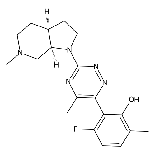 Cc1ccc(F)c(-c2nnc(N3CC[C@@H]4CCN(C)C[C@@H]43)nc2C)c1O